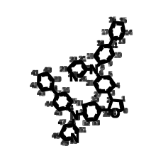 C1=CC(c2ccc(N(c3ccc(-c4ccccc4)cc3)c3cccnc3)cc2)C(c2ccc(N(c3ccc(-c4ccccc4)cc3)c3cccnc3)cc2)O1